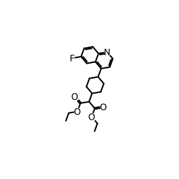 CCOC(=O)C(C(=O)OCC)C1CCC(c2ccnc3ccc(F)cc23)CC1